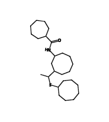 CC(SC1CCCCCCC1)C1CCCCCC(NC(=O)C2CCCCCC2)C1